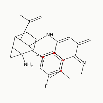 C=C(/C=C(/NC1C(C(=C)C)C2CCC1C1(N)CC21)C(/C=C\C)=C(C)C)/C(=N/C)c1cc(C)cc(F)c1C